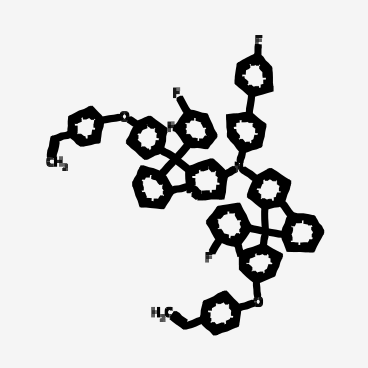 C=Cc1ccc(Oc2ccc(C3(c4cccc(F)c4F)c4ccccc4-c4ccc(N(c5ccc(-c6ccc(F)cc6)cc5)c5ccc6c(c5)C(c5ccc(Oc7ccc(C=C)cc7)cc5)(c5cccc(F)c5F)c5ccccc5-6)cc43)cc2)cc1